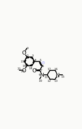 COc1cc(/C=C\C(=O)N(C)C2CCN(C)CC2)cc(OC)c1